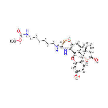 CC(C)(C)OC(=O)NCCCCCCNC(=S)Nc1c(O)ccc2c1Oc1cc(O)ccc1C21OC(=O)c2ccccc21